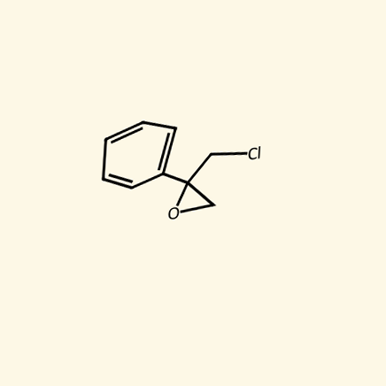 ClCC1(c2ccccc2)CO1